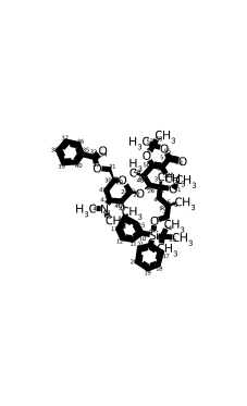 CO[C@](C)(C[C@@H](C)CO[Si](c1ccccc1)(c1ccccc1)C(C)(C)C)[C@H](O[C@@H]1O[C@H](COC(=O)c2ccccc2)CC(N(C)C)[C@H]1C)[C@@H](C)C1=C(C)C(=O)OC(C)(C)O1